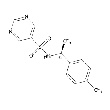 O=S(=O)(N[C@H](c1ccc(C(F)(F)F)cc1)C(F)(F)F)c1cncnc1